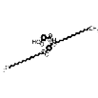 CCCCCCCCCCCCCCCCCCOC(=O)c1ccc(C(=O)OCCCCCCCCCCCCCCCCCC)cc1.O=C(O)c1cccc(C(=O)O)c1